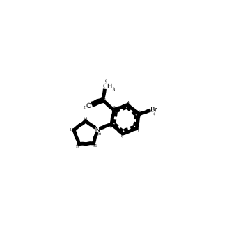 CC(=O)c1cc(Br)ccc1N1CCCC1